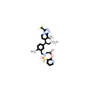 CC[C@@H]1CN(Cc2cc(C(CC(=O)O)c3ccn4c(C(F)F)nnc4c3C)ccc2C)S(=O)(=O)c2cccnc2O1